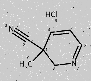 CC1(C#N)C=CC=NC1.Cl